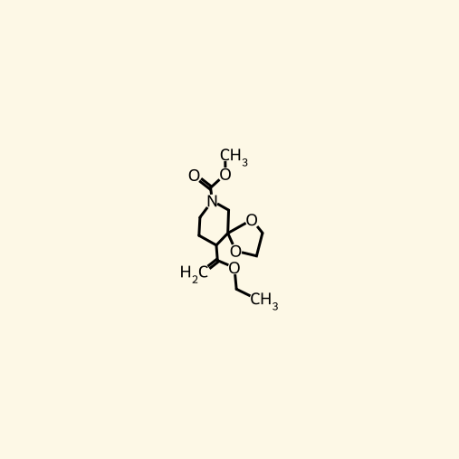 C=C(OCC)C1CCN(C(=O)OC)CC12OCCO2